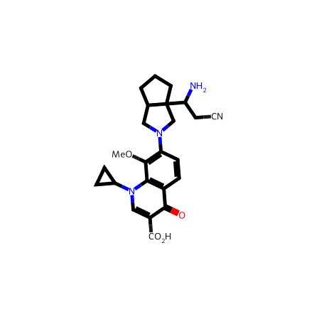 COc1c(N2CC3CCCC3(C(N)CC#N)C2)ccc2c(=O)c(C(=O)O)cn(C3CC3)c12